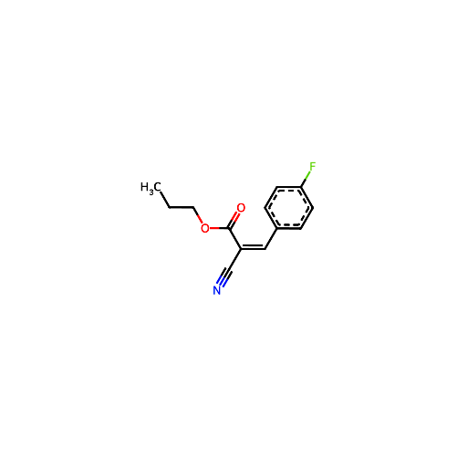 CCCOC(=O)C(C#N)=Cc1ccc(F)cc1